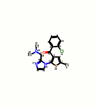 CCc1cc(C(=O)c2ccccc2Cl)c(-n2ccnc2CN(CC)CC)s1